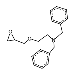 c1ccc(CN(CCOCC2CO2)Cc2ccccc2)cc1